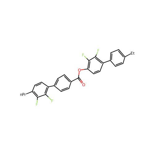 CCCc1ccc(-c2ccc(C(=O)Oc3ccc(-c4ccc(CC)cc4)c(F)c3F)cc2)c(F)c1F